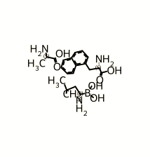 CC(C)C[C@H](N)B(O)O.C[C@H](N)C(=O)O.N[C@@H](Cc1cccc2ccccc12)C(=O)O